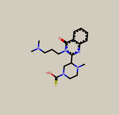 CN(C)CCCn1c(C2CN(C(O)=S)CCN2C)nc2ccccc2c1=O